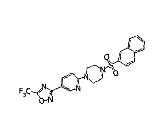 O=S(=O)(c1ccc2ccccc2c1)N1CCN(c2ccc(-c3noc(C(F)(F)F)n3)cn2)CC1